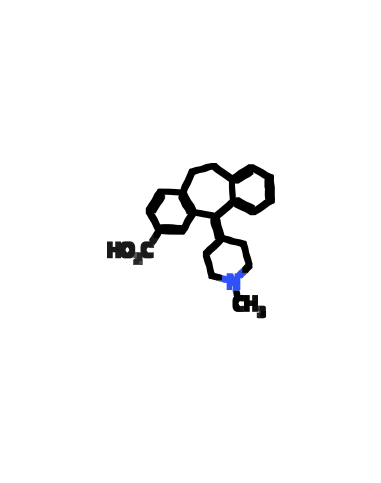 CN1CCC(=C2c3ccccc3CCc3ccc(C(=O)O)cc32)CC1